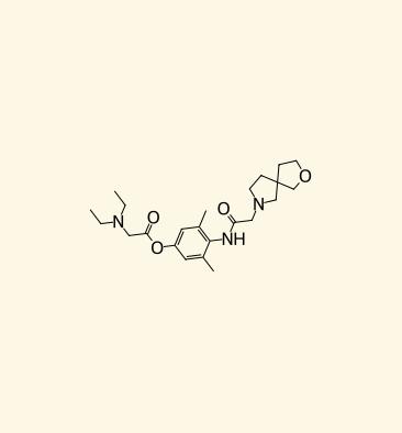 CCN(CC)CC(=O)Oc1cc(C)c(NC(=O)CN2CCC3(CCOC3)C2)c(C)c1